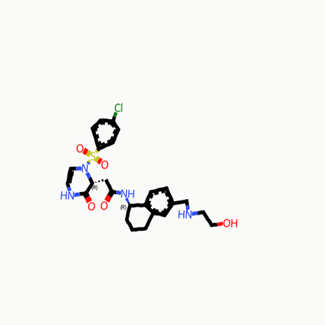 O=C(C[C@@H]1C(=O)NC=CN1S(=O)(=O)c1ccc(Cl)cc1)N[C@@H]1CCCc2cc(CNCCO)ccc21